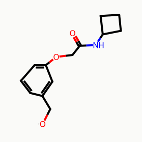 [O]Cc1cccc(OCC(=O)NC2CCC2)c1